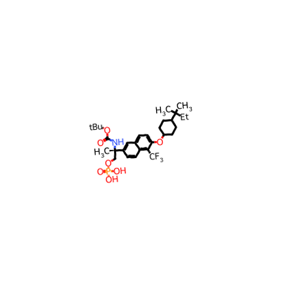 CCC(C)(C)C1CCC(Oc2ccc3cc([C@](C)(COP(=O)(O)O)NC(=O)OC(C)(C)C)ccc3c2C(F)(F)F)CC1